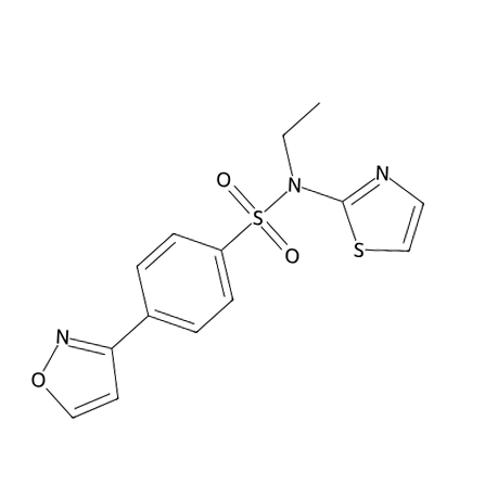 CCN(c1nccs1)S(=O)(=O)c1ccc(-c2ccon2)cc1